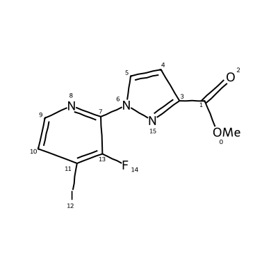 COC(=O)c1ccn(-c2nccc(I)c2F)n1